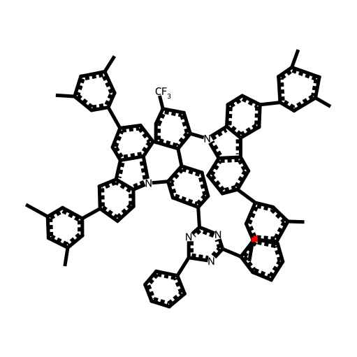 Cc1cc(C)cc(-c2ccc3c(c2)c2cc(-c4cc(C)cc(C)c4)ccc2n3-c2cc(-c3nc(-c4ccccc4)nc(-c4ccccc4)n3)ccc2-c2ccc(C(F)(F)F)cc2-n2c3ccc(-c4cc(C)cc(C)c4)cc3c3cc(-c4cc(C)cc(C)c4)ccc32)c1